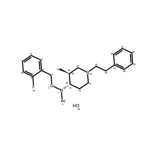 CC(=O)N(OCc1ccccc1F)[C@H]1CCN(CCc2ccccc2)C[C@@H]1C.Cl